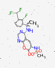 C[C@@H](Nc1ncnc2oc(=O)c(NS(C)(=O)=O)cc12)c1cccc(C(F)F)c1F